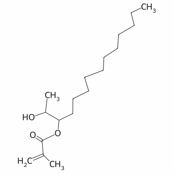 C=C(C)C(=O)OC(CCCCCCCCCCC)C(C)O